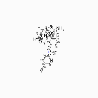 CC1C2[C@@]1(C(=O)N1CCO[C@@H]3C[C@@H]31)SC(N)=N[C@]2(C)c1cc(/C=C(\F)c2ccc(C#N)cn2)ccc1F